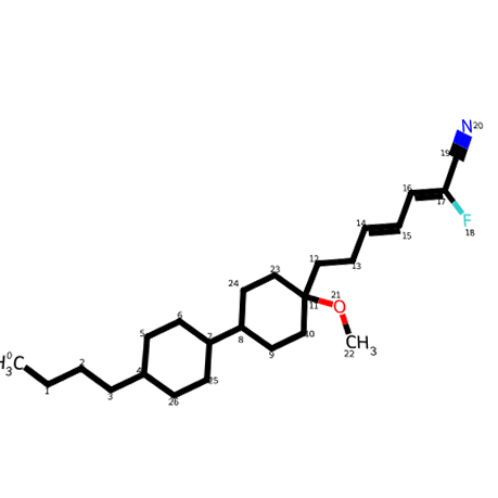 CCCCC1CCC(C2CCC(CCC=CC=C(F)C#N)(OC)CC2)CC1